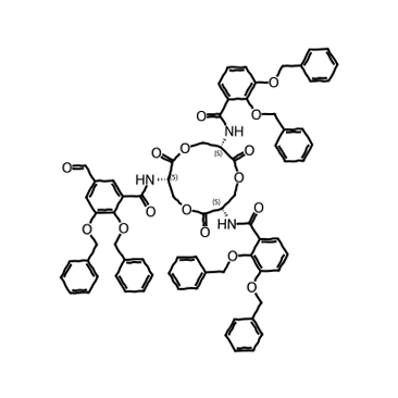 O=Cc1cc(OCc2ccccc2)c(OCc2ccccc2)c(C(=O)N[C@H]2COC(=O)[C@@H](NC(=O)c3cccc(OCc4ccccc4)c3OCc3ccccc3)COC(=O)[C@@H](NC(=O)c3cccc(OCc4ccccc4)c3OCc3ccccc3)COC2=O)c1